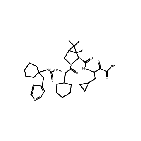 CC1(C)C2CN(C(=O)[C@@H](NC(=O)NC3(Cc4ccncc4)CCCCC3)C3CCCCC3)[C@H](C(=O)NC(CC3CC3)C(=O)C(N)=O)[C@H]21